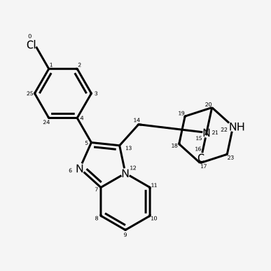 Clc1ccc(-c2nc3ccccn3c2CN2CC3CCC(C2)NC3)cc1